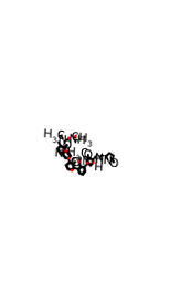 CNCCN(C)Cc1cnc2cc(-c3cccc(-c4cccc(-c5ccc(CNC[C@H]6CCC(=O)N6)c(OC)n5)c4Cl)c3Cl)ccn2c1=O